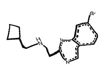 Brc1ccc2cnc(CNCC3CCC3)nc2c1